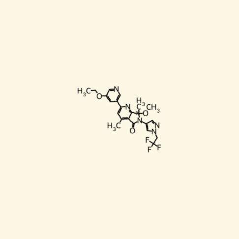 CCOc1cncc(-c2cc(C)c3c(n2)[C@](C)(OC)N(c2cnn(CC(F)(F)F)c2)C3=O)c1